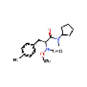 CCCCON(C=O)[C@@H](Cc1ccc(C#N)cc1)C(=O)N(C)C1CCCC1